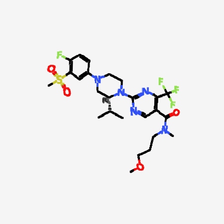 COCCCN(C)C(=O)c1cnc(N2CCN(c3ccc(F)c(S(C)(=O)=O)c3)C[C@H]2C(C)C)nc1C(F)(F)F